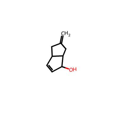 C=C1CC2C=CC(O)C2C1